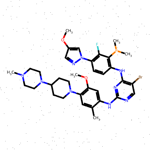 COc1cnn(-c2ccc(Nc3nc(Nc4cc(OC)c(N5CCC(N6CCN(C)CC6)CC5)cc4C)ncc3Br)c(P(C)C)c2F)c1